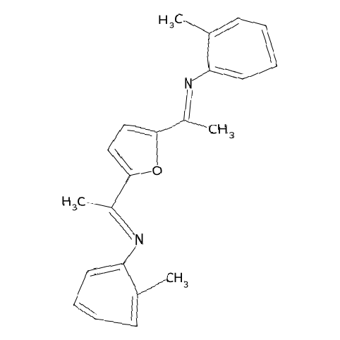 C/C(=N\c1ccccc1C)c1ccc(/C(C)=N/c2ccccc2C)o1